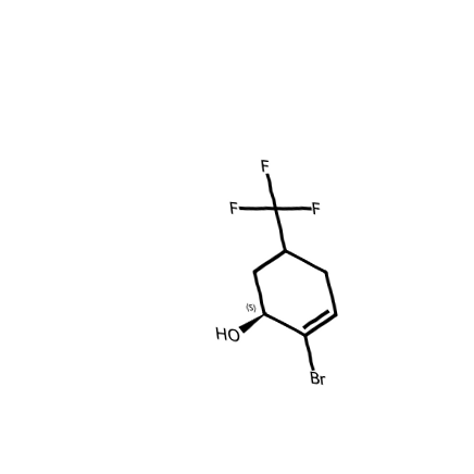 O[C@H]1CC(C(F)(F)F)CC=C1Br